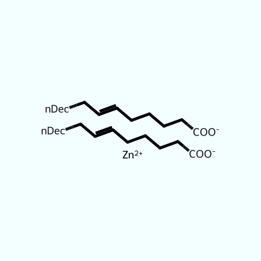 CCCCCCCCCCCC=CCCCCC(=O)[O-].CCCCCCCCCCCC=CCCCCC(=O)[O-].[Zn+2]